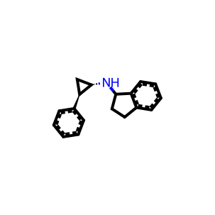 c1ccc([C@H]2C[C@@H]2NC2CCc3ccccc32)cc1